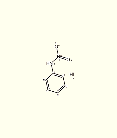 I.O=[N+]([O-])Nc1ccccc1